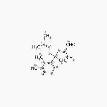 CC(C)=CCC(C)(/C=C(\C)C=O)c1cccc(C#N)c1C